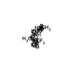 C[C@H](Cc1c[nH]c2c(OCC(=O)NS(C)(=O)=O)cccc12)NC[C@@H](OC(=O)C(F)(F)F)c1cccc(Cl)c1